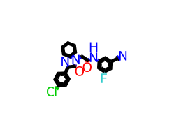 N#Cc1cc(F)cc(NC(=O)CN2C(=O)C(c3ccc(Cl)cc3)=NC23CCCCC3)c1